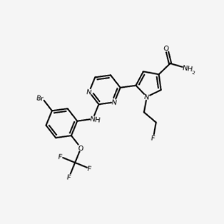 NC(=O)c1cc(-c2ccnc(Nc3cc(Br)ccc3OC(F)(F)F)n2)n(CCF)c1